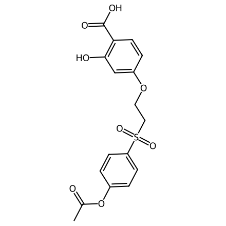 CC(=O)Oc1ccc(S(=O)(=O)CCOc2ccc(C(=O)O)c(O)c2)cc1